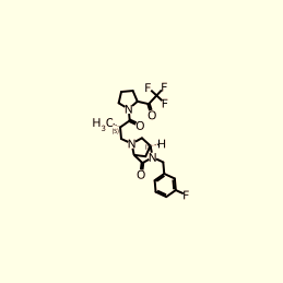 C[C@@H](CN1C[C@@H]2CC1C(=O)N2Cc1cccc(F)c1)C(=O)N1CCCC1C(=O)C(F)(F)F